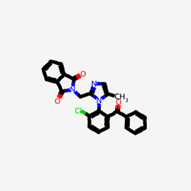 Cc1cnc(CN2C(=O)c3ccccc3C2=O)n1-c1c(Cl)cccc1C(=O)c1ccccc1